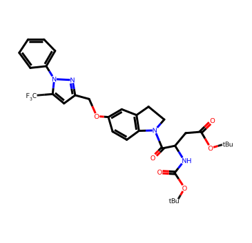 CC(C)(C)OC(=O)CC(NC(=O)OC(C)(C)C)C(=O)N1CCc2cc(OCc3cc(C(F)(F)F)n(-c4ccccc4)n3)ccc21